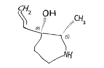 C=C[C@]1(O)CCN[C@H]1C